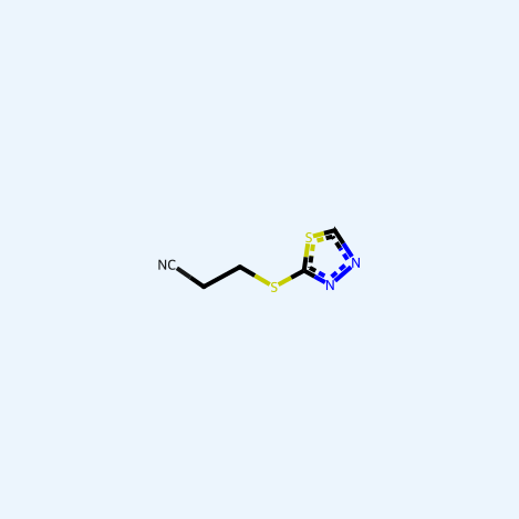 N#CCCSc1nn[c]s1